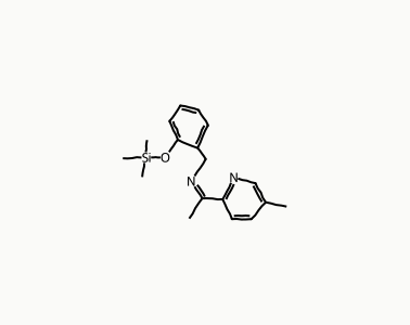 CC(=NCc1ccccc1O[Si](C)(C)C)c1ccc(C)cn1